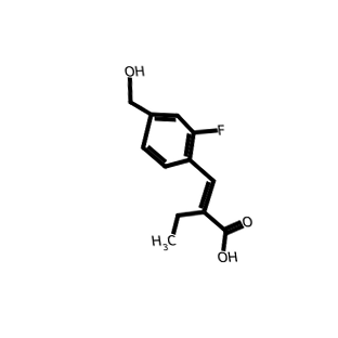 CC/C(=C\c1ccc(CO)cc1F)C(=O)O